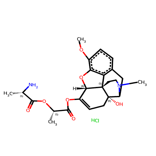 COc1ccc2c3c1O[C@H]1C(OC(=O)[C@H](C)OC(=O)[C@H](C)N)=CC[C@]4(O)C(C2)N(C)CC[C@]314.Cl